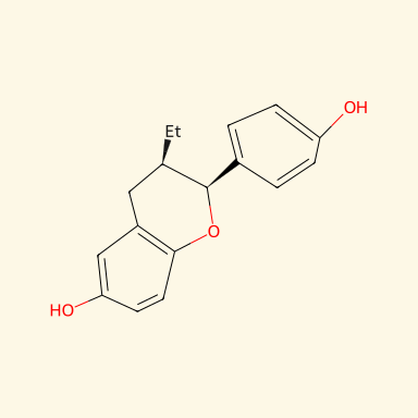 CC[C@@H]1Cc2cc(O)ccc2O[C@@H]1c1ccc(O)cc1